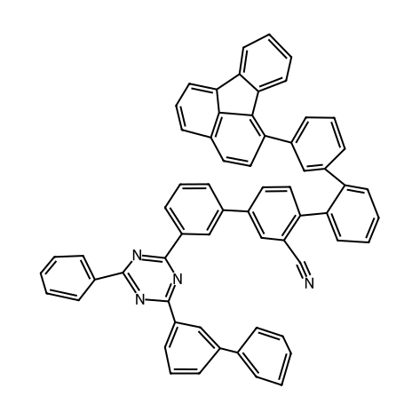 N#Cc1cc(-c2cccc(-c3nc(-c4ccccc4)nc(-c4cccc(-c5ccccc5)c4)n3)c2)ccc1-c1ccccc1-c1cccc(-c2ccc3cccc4c3c2-c2ccccc2-4)c1